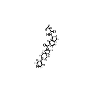 O=C(NC1CCc2ccc(C(=O)N3CCC4(CCN(c5ccncc5)CC4)C3)cc21)C1CC1